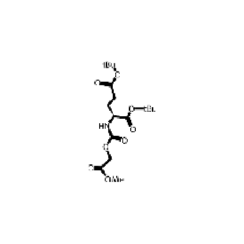 COC(=O)COC(=O)N[C@@H](CCC(=O)OC(C)(C)C)C(=O)OC(C)(C)C